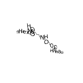 CCCCCCNS(=O)(=O)CCCCNCCOCCOCC(=O)NCCCC